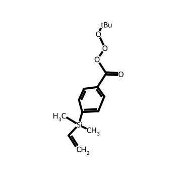 C=C[Si](C)(C)c1ccc(C(=O)OOOC(C)(C)C)cc1